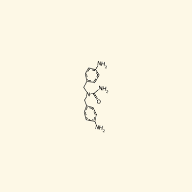 NC(=O)N(Cc1ccc(N)cc1)Cc1ccc(N)cc1